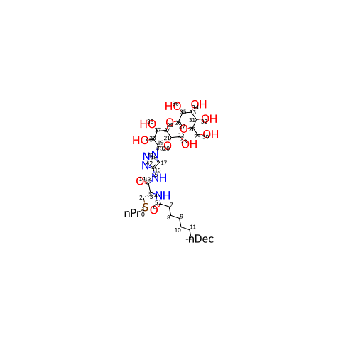 [CH2][CH]CSC[C@@H](NC(=O)CCCCCCCCCCCCCCC)C(=O)Nc1cn([C@@H]2OC(CO)C(OC3OC(CO)C(O)C(O)C3O)C(O)C2O)nn1